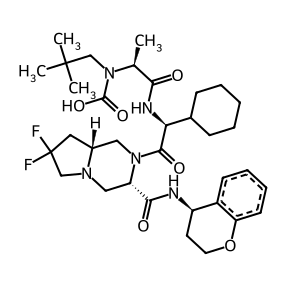 C[C@@H](C(=O)N[C@H](C(=O)N1C[C@H]2CC(F)(F)CN2C[C@H]1C(=O)N[C@@H]1CCOc2ccccc21)C1CCCCC1)N(CC(C)(C)C)C(=O)O